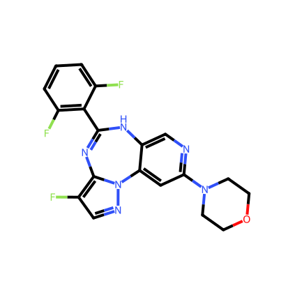 Fc1cccc(F)c1C1=Nc2c(F)cnn2-c2cc(N3CCOCC3)ncc2N1